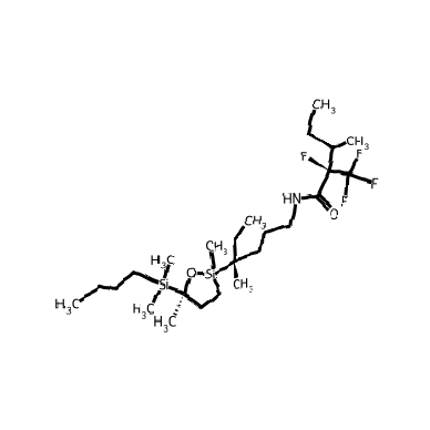 CCCC[Si](C)(C)[C@]1(C)CC[Si](C)([C@](C)(CC)CCCNC(=O)[C@](F)(C(C)CC)C(F)(F)F)O1